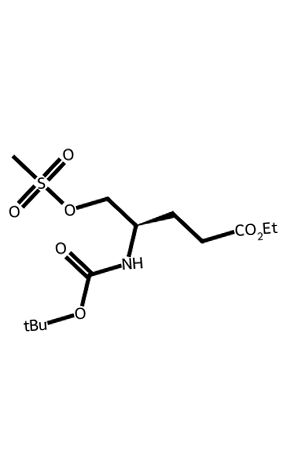 CCOC(=O)CC[C@H](COS(C)(=O)=O)NC(=O)OC(C)(C)C